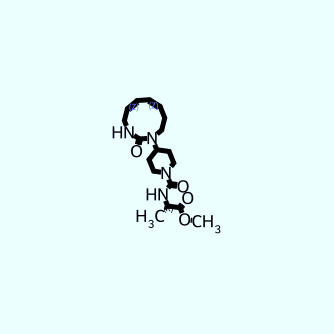 COC(=O)[C@@H](C)NC(=O)N1CCC(N2CC/C=C\C=C/CNC2=O)CC1